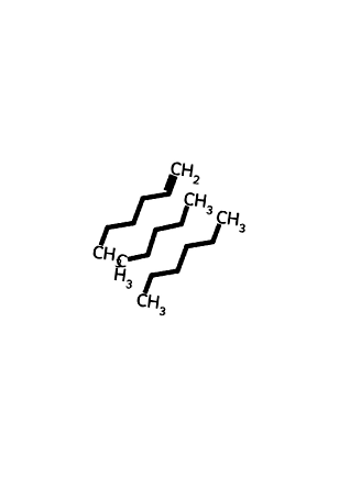 C=CCCCC.CCCCC.CCCCCC